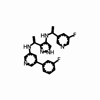 C=C(Nc1c[nH]nc1C(=C)Nc1cncc(-c2cccc(F)c2)c1)c1cncc(F)c1